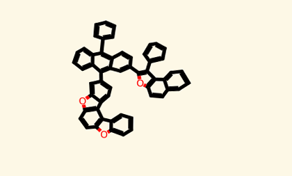 c1ccc(-c2c3ccccc3c(-c3ccc4c(c3)oc3ccc5oc6ccccc6c5c34)c3cc(-c4oc5ccc6ccccc6c5c4-c4ccccc4)ccc23)cc1